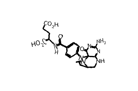 CN1C2CNC3=NC(N)=NC(=O)C31N(c1ccc(C(=O)NC(CCC(=O)O)C(=O)O)cc1)C2